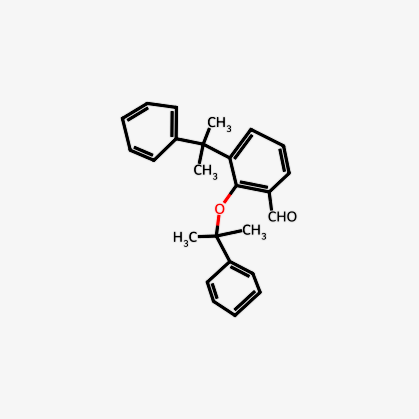 CC(C)(Oc1c(C=O)cccc1C(C)(C)c1ccccc1)c1ccccc1